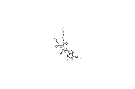 C#CC1(COC(=O)CCCC)OC(n2cnc3c(N)nc(F)nc32)CC1OC(=O)CCCCCCCC